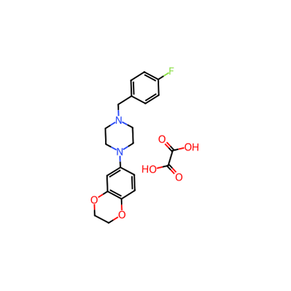 Fc1ccc(CN2CCN(c3ccc4c(c3)OCCO4)CC2)cc1.O=C(O)C(=O)O